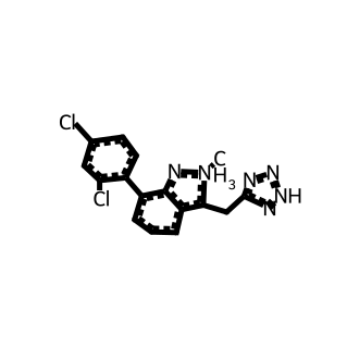 Cn1nc2c(-c3ccc(Cl)cc3Cl)cccc2c1Cc1nn[nH]n1